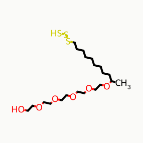 CC(CCCCCCCCCSSS)OCCOCCOCCOCCOCCO